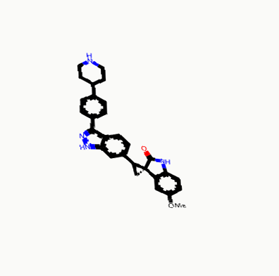 COc1ccc2c(c1)[C@]1(CC1c1ccc3c(-c4ccc(C5CCNCC5)cc4)n[nH]c3c1)C(=O)N2